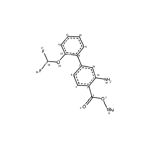 CC(C)(C)OC(=O)c1ccc(-c2ccccc2OC(F)F)cc1N